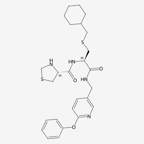 O=C(N[C@@H](CSCC1CCCCC1)C(=O)NCc1ccc(Oc2ccccc2)nc1)[C@@H]1CSCN1